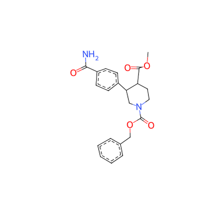 COC(=O)C1CCN(C(=O)OCc2ccccc2)CC1c1ccc(C(N)=O)cc1